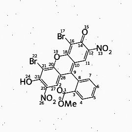 COC(=O)c1ccccc1-c1c2cc([N+](=O)[O-])c(=O)c(Br)c-2oc2c(Br)c(O)c([N+](=O)[O-])cc12